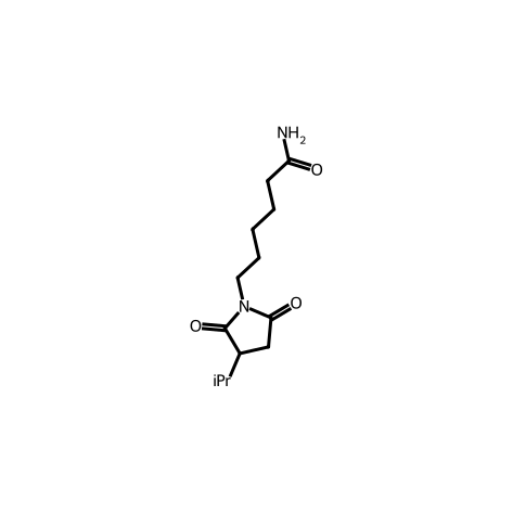 CC(C)C1CC(=O)N(CCCCCC(N)=O)C1=O